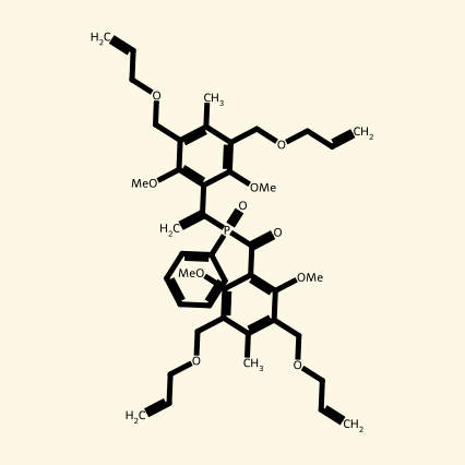 C=CCOCc1c(C)c(COCC=C)c(OC)c(C(=C)P(=O)(C(=O)c2c(OC)c(COCC=C)c(C)c(COCC=C)c2OC)c2ccccc2)c1OC